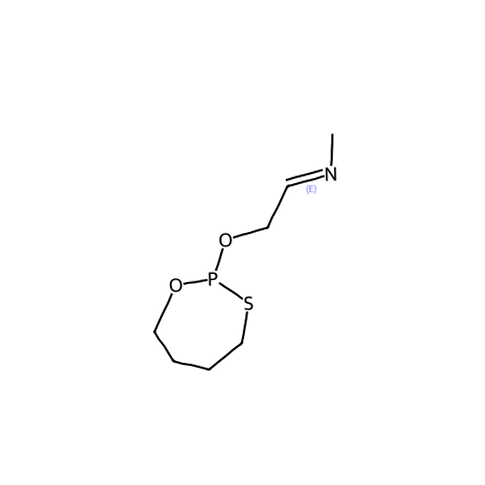 C/N=C/COP1OCCCCS1